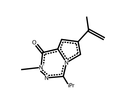 C=C(C)c1cc2c(=O)n(C)nc(C(C)C)n2c1